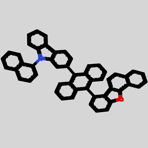 c1ccc2c(-n3c4ccccc4c4ccc(-c5c6ccccc6c(-c6cccc7oc8c9ccccc9ccc8c67)c6ccccc56)cc43)cccc2c1